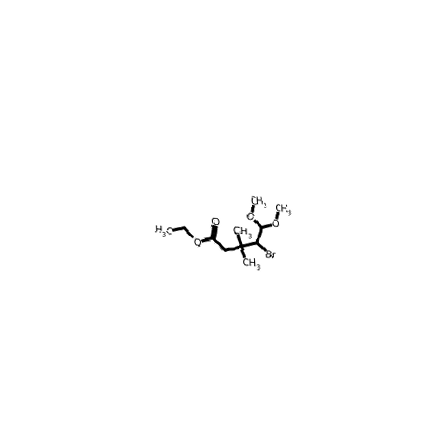 CCOC(=O)CC(C)(C)C(Br)C(OC)OC